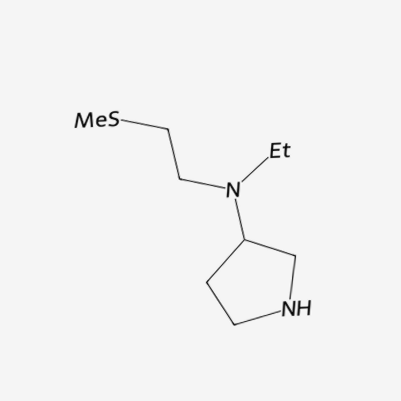 CCN(CCSC)C1CCNC1